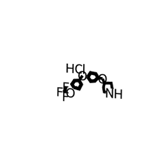 Cl.FC(F)(F)Oc1ccc(Oc2ccc(OC3CCNCC3)cc2)cc1